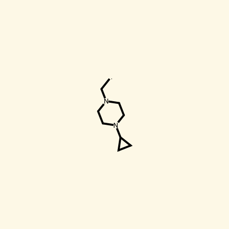 [CH2]CN1CCN(C2CC2)CC1